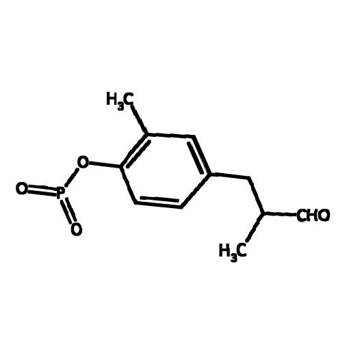 Cc1cc(CC(C)C=O)ccc1OP(=O)=O